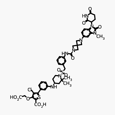 Cn1c(=O)n(C2CCC(=O)NC2=O)c2ccc(N3CC4(CN(C(=O)Nc5cccc(CS(=O)(=O)N6CC[C@H](Nc7cccc(-c8sc(C(=O)O)c(OCC(=O)O)c8Cl)c7)CC6(C)C)c5)C4)C3)cc21